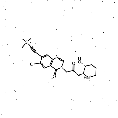 C[Si](C)(C)C#Cc1cc2ncn(CC(=O)C[C@@H]3NCCC[C@H]3O)c(=O)c2cc1Cl